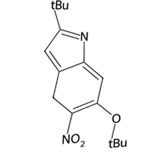 CC(C)(C)OC1=C([N+](=O)[O-])CC2=CC(C(C)(C)C)=NC2=C1